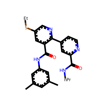 CCCNC(=O)c1cc(-c2ncc(SCC)cc2C(=O)Nc2cc(C)cc(C)c2)ccn1